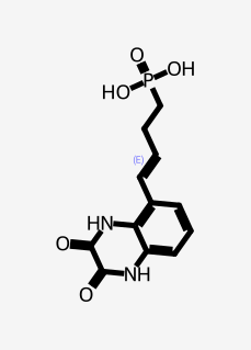 O=c1[nH]c2cccc(/C=C/CCP(=O)(O)O)c2[nH]c1=O